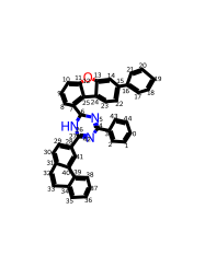 c1ccc(C2=NC(c3cccc4oc5cc(-c6ccccc6)ccc5c34)NC(c3ccc4ccc5ccccc5c4c3)=N2)cc1